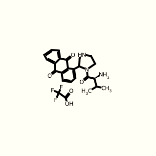 CC(C)[C@H](N)C(=O)N1CCNCC1c1cccc2c1C(=O)c1ccccc1C2=O.O=C(O)C(F)(F)F